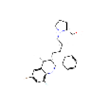 C[C@H](CC[C@@H]1[C@H](C)c2cc(Br)cc(F)c2N[C@H]1C1C=CC=CC1)CN1CCC[C@H]1CO